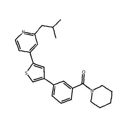 CC(C)Cc1cc(-c2cc(-c3cccc(C(=O)N4CCCCC4)c3)cs2)ccn1